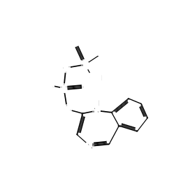 O=P(O)(O)OP(=O)(O)OC1=CN=Cc2ccccc2N1